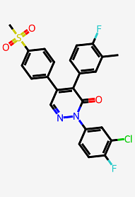 Cc1cc(-c2c(-c3ccc(S(C)(=O)=O)cc3)cnn(-c3ccc(F)c(Cl)c3)c2=O)ccc1F